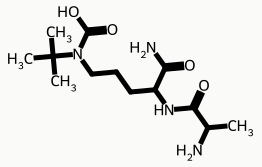 CC(N)C(=O)NC(CCCN(C(=O)O)C(C)(C)C)C(N)=O